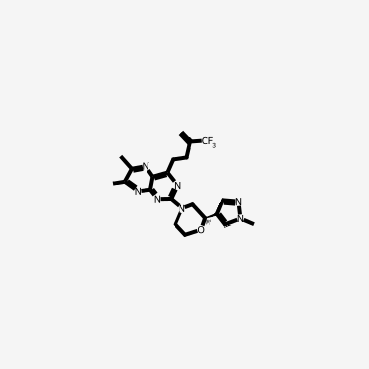 C=C(CCc1nc(N2CCO[C@H](c3cnn(C)c3)C2)nc2nc(C)c(C)nc12)C(F)(F)F